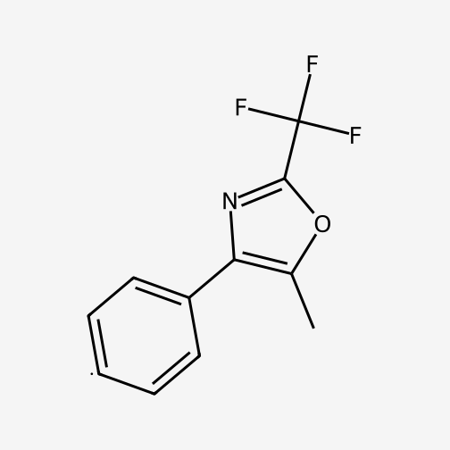 Cc1oc(C(F)(F)F)nc1-c1cc[c]cc1